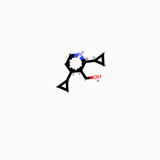 OCc1c(C2CC2)ccnc1C1CC1